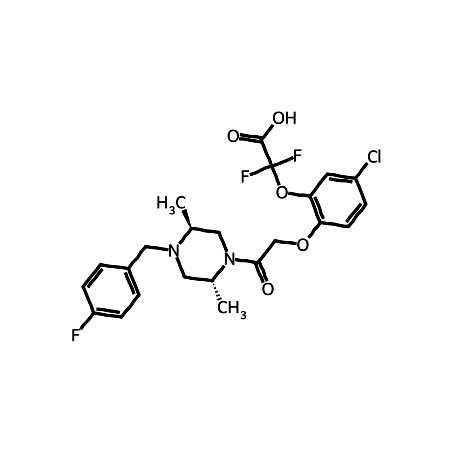 C[C@@H]1CN(Cc2ccc(F)cc2)[C@@H](C)CN1C(=O)COc1ccc(Cl)cc1OC(F)(F)C(=O)O